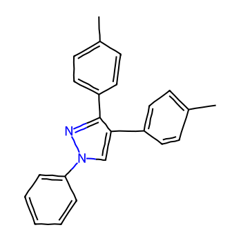 Cc1ccc(-c2cn(-c3ccccc3)nc2-c2ccc(C)cc2)cc1